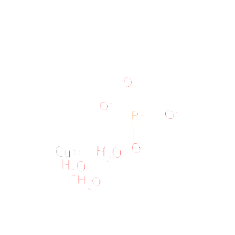 O.O.O.O=P([O-])([O-])[O-].[Cu+3]